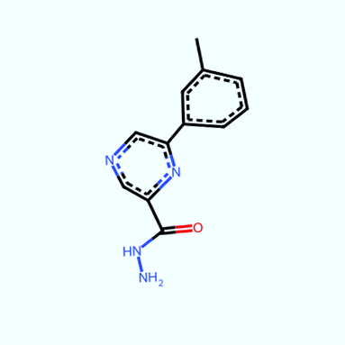 Cc1cccc(-c2cncc(C(=O)NN)n2)c1